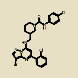 O=C(Nc1ccc(Cl)cc1)N1CCCC(CNc2cc(-c3ccccc3Cl)nc3c(Br)cnn23)C1